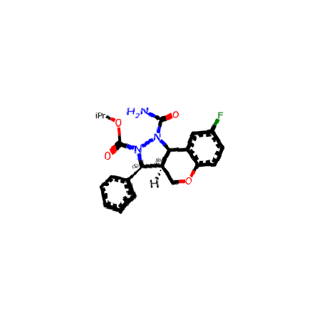 CC(C)OC(=O)N1[C@H](c2ccccc2)[C@@H]2COc3ccc(F)cc3C2N1C(N)=O